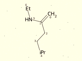 C=C(CCC(C)C)NCC